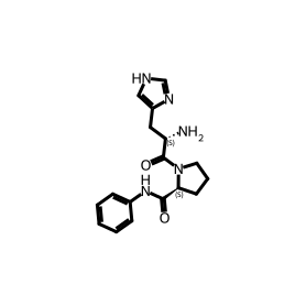 N[C@@H](Cc1c[nH]cn1)C(=O)N1CCC[C@H]1C(=O)Nc1ccccc1